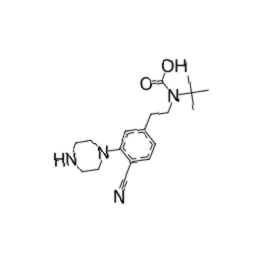 CC(C)(C)N(CCc1ccc(C#N)c(N2CCNCC2)c1)C(=O)O